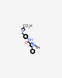 CC(C)Cn1nc(C(=O)Nc2ccc(CN3CC(C(=O)O)C3)cc2)cc1-c1ccccc1